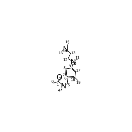 CC(=O)N(C)Cc1ccc(N(C)CCN(C)C)cc1C